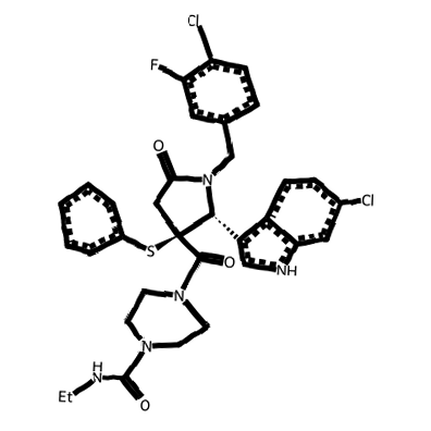 CCNC(=O)N1CCN(C(=O)[C@]2(Sc3ccccc3)CC(=O)N(Cc3ccc(Cl)c(F)c3)[C@@H]2c2c[nH]c3cc(Cl)ccc23)CC1